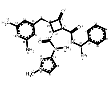 CCC[C@@H](NC(=O)N1C(=O)[C@H](Cc2cc(C)nc(N)c2)[C@H]1C(=O)N(C)c1ccn(C)n1)c1ccccc1